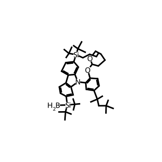 B[Si](c1ccc2c3ccc([Si](CCCC)(C(C)(C)C)C(C)(C)C)cc3n(-c3cc(C(C)(C)CC(C)(C)C)ccc3OC3CCCCO3)c2c1)(C(C)(C)C)C(C)(C)C